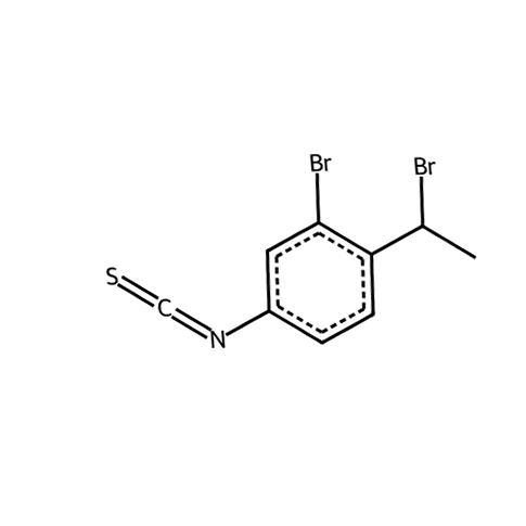 CC(Br)c1ccc(N=C=S)cc1Br